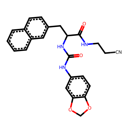 N#CCCNC(=O)C(Cc1ccc2ccccc2c1)NC(=O)Nc1ccc2c(c1)OCO2